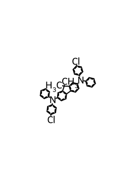 CC1(C)c2cc(N(c3ccccc3)c3ccc(Cl)cc3)ccc2-c2ccc(N(c3ccccc3)c3ccc(Cl)cc3)cc21